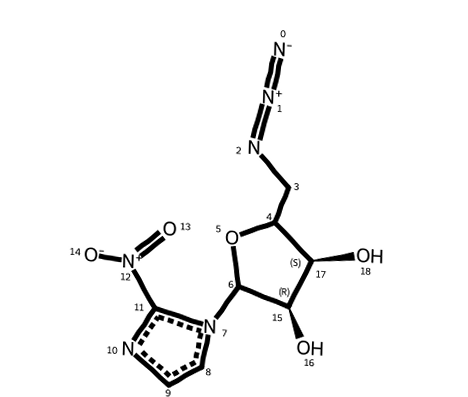 [N-]=[N+]=NCC1OC(n2ccnc2[N+](=O)[O-])[C@H](O)[C@@H]1O